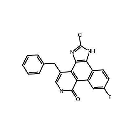 O=C1[N]C=C(Cc2ccccc2)c2c1c1cc(F)ccc1c1[nH]c(Cl)nc21